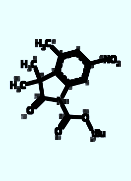 Cc1cc([N+](=O)[O-])cc2c1C(C)(C)C(=O)N2C(=O)OC(C)(C)C